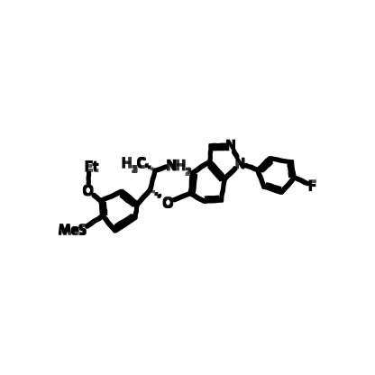 CCOc1cc([C@@H](Oc2ccc3c(cnn3-c3ccc(F)cc3)c2)[C@H](C)N)ccc1SC